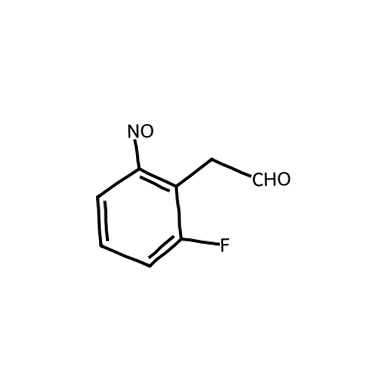 O=CCc1c(F)cccc1N=O